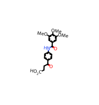 COc1cc(C(=O)Nc2ccc(C(=O)CCC(=O)O)cc2)cc(OC)c1OC